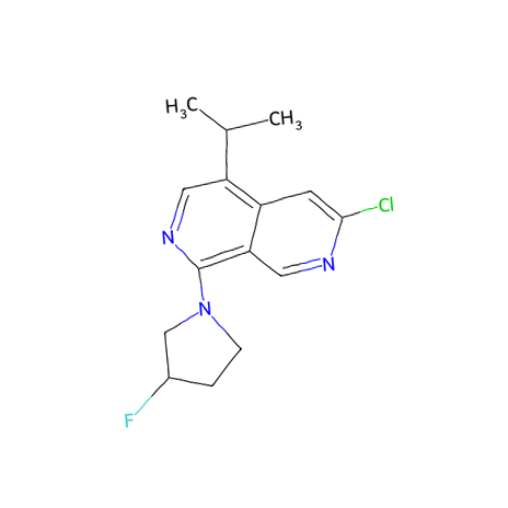 CC(C)c1cnc(N2CCC(F)C2)c2cnc(Cl)cc12